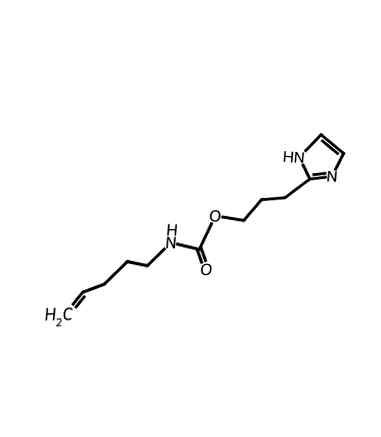 C=CCCCNC(=O)OCCCc1ncc[nH]1